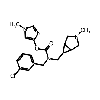 CN1CC2C(C1)C2CN(Cc1cccc(Cl)c1)C(=O)Oc1cn(C)cn1